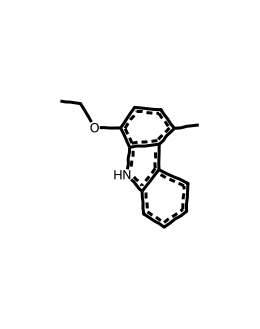 CCOc1ccc(C)c2c1[nH]c1ccccc12